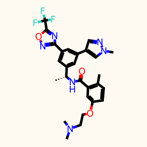 Cc1ccc(OCCN(C)C)cc1C(=O)N[C@H](C)c1cc(-c2cnn(C)c2)cc(-c2noc(C(F)(F)F)n2)c1